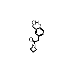 CCc1cccc(CC(=O)N2CCC2)c1